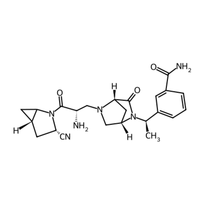 C[C@H](c1cccc(C(N)=O)c1)N1C(=O)[C@@H]2C[C@H]1CN2C[C@H](N)C(=O)N1C2C[C@H]2C[C@H]1C#N